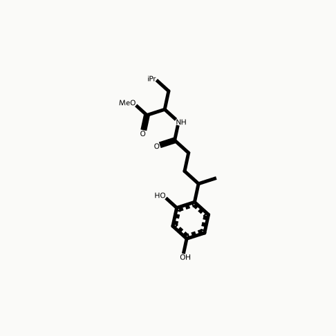 COC(=O)C(CC(C)C)NC(=O)CCC(C)c1ccc(O)cc1O